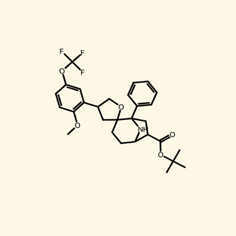 COc1ccc(OC(F)(F)F)cc1C1COC2(CCC3NC2(c2ccccc2)CC3C(=O)OC(C)(C)C)C1